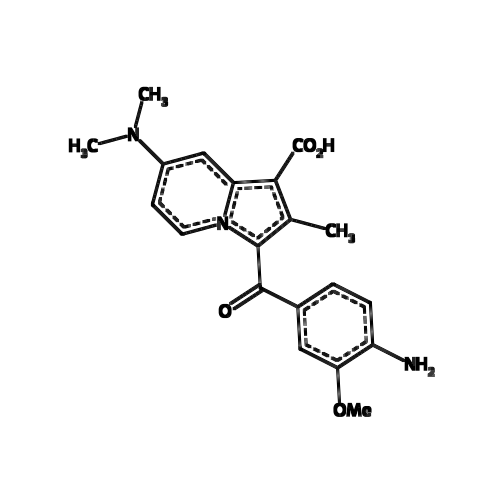 COc1cc(C(=O)c2c(C)c(C(=O)O)c3cc(N(C)C)ccn23)ccc1N